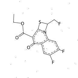 CCOC(=O)c1c2n(c3cc(F)c(F)cc3c1=O)C(CF)S2